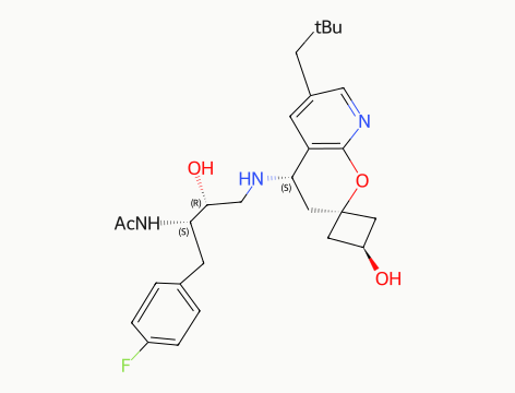 CC(=O)N[C@@H](Cc1ccc(F)cc1)[C@H](O)CN[C@H]1C[C@]2(C[C@H](O)C2)Oc2ncc(CC(C)(C)C)cc21